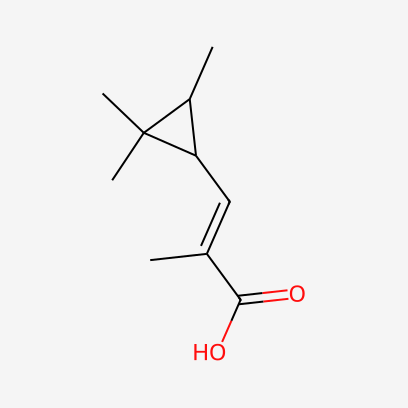 C/C(=C\C1C(C)C1(C)C)C(=O)O